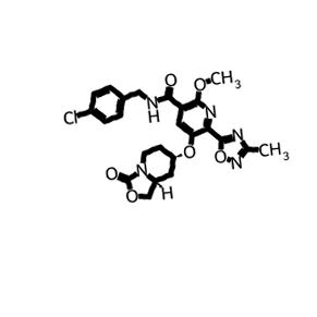 COc1nc(-c2nc(C)no2)c(O[C@H]2CCN3C(=O)OC[C@@H]3C2)cc1C(=O)NCc1ccc(Cl)cc1